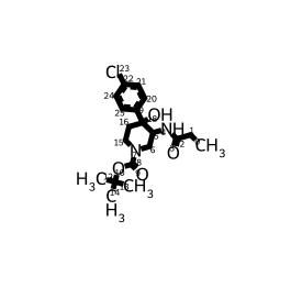 CCC(=O)NC1CN(C(=O)OC(C)(C)C)CCC1(O)c1ccc(Cl)cc1